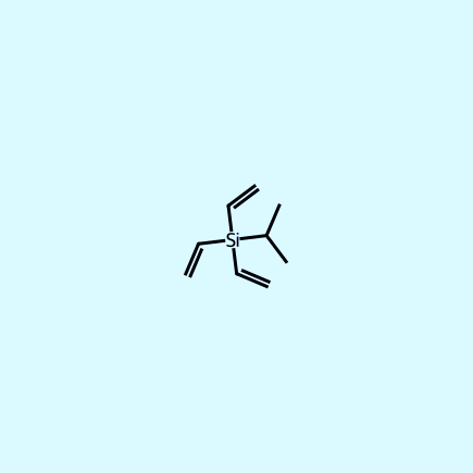 C=C[Si](C=C)(C=C)C(C)C